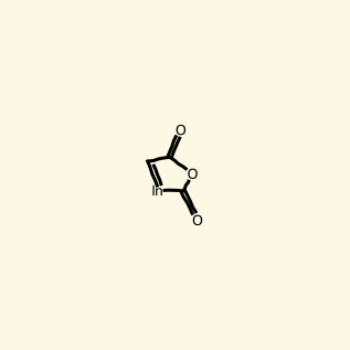 O=C1[CH]=[In][C](=O)O1